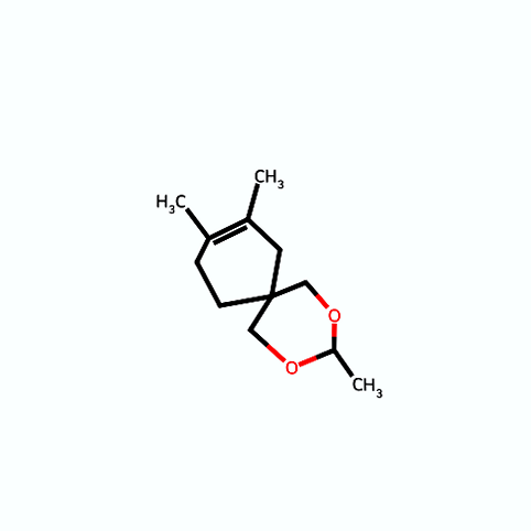 CC1=C(C)CC2(CC1)COC(C)OC2